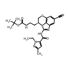 CCn1nc(C)cc1C(=O)Nc1nc2cc(C#N)cc3c2n1[C@@H](CCNC(=O)OC(C)(C)C)CO3